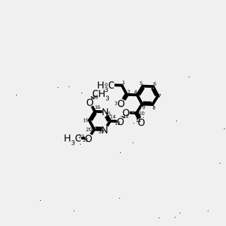 CCC(=O)c1ccccc1C(=O)OOc1nc(OC)cc(OC)n1